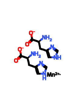 N[C@@H](Cc1c[nH]cn1)C(=O)[O-].N[C@@H](Cc1c[nH]cn1)C(=O)[O-].[Mn+2]